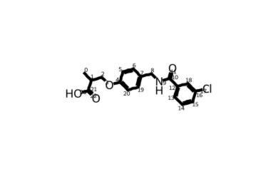 CC(COc1ccc(CNC(=O)c2cccc(Cl)c2)cc1)C(=O)O